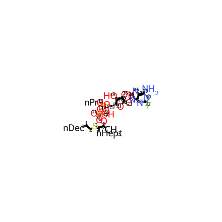 CCCCCCCCCCCCSC(CCCCCCC)C(C)OOP(=O)(O)OP(=O)(OCCC)OC[C@H]1O[C@@H](On2cnc3c(N)nc(F)nc32)[C@@H](O)[C@@H]1O